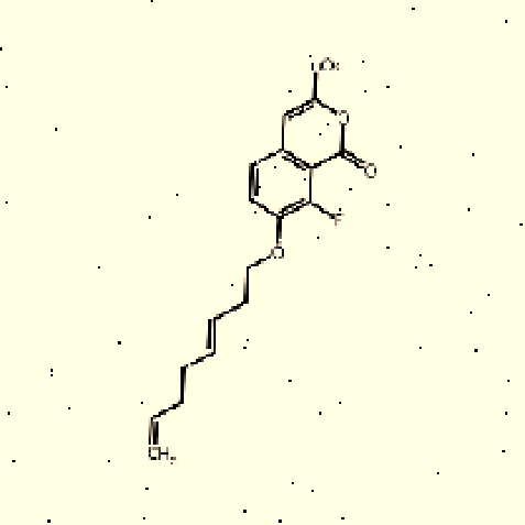 C=CCC/C=C/CCOc1ccc2cc(CCCCCCCC)oc(=O)c2c1F